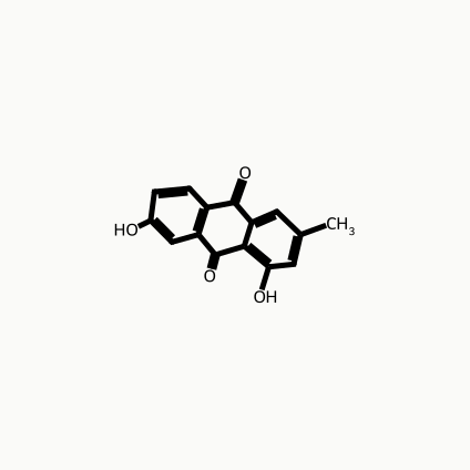 Cc1cc(O)c2c(c1)C(=O)c1ccc(O)cc1C2=O